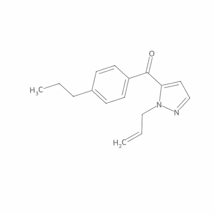 C=CCn1nccc1C(=O)c1ccc(CCC)cc1